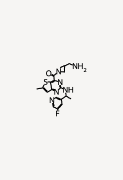 Cc1cc2nc(NC(C)c3cncc(F)c3)nc(C(=O)N3CC(CN)C3)c2s1